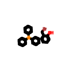 Oc1ccccc1CBr.c1ccc(P(c2ccccc2)c2ccccc2)cc1